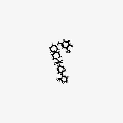 N#Cc1cc(CN2CCCC3(CCN(S(=O)(=O)c4ccc(N5CCOC5=O)nc4)CC3)C2)ccc1F